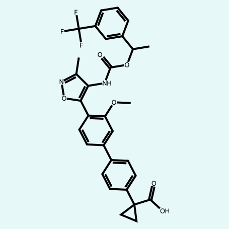 COc1cc(-c2ccc(C3(C(=O)O)CC3)cc2)ccc1-c1onc(C)c1NC(=O)OC(C)c1cccc(C(F)(F)F)c1